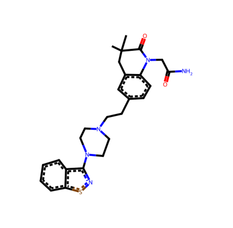 CC1(C)Cc2cc(CCN3CCN(c4nsc5ccccc45)CC3)ccc2N(CC(N)=O)C1=O